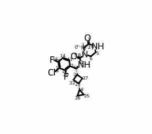 C[C@@H]1C(=O)NCCN1C(=O)NC(c1ccc(F)c(Cl)c1F)[C@H]1C[C@@H](C2CC2)C1